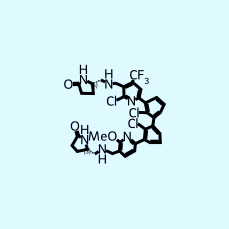 COc1nc(-c2cccc(-c3cccc(-c4cc(C(F)(F)F)c(CNC[C@@H]5CCC(=O)N5)c(Cl)n4)c3Cl)c2Cl)ccc1CNC[C@@H]1CCC(=O)N1